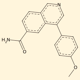 COc1ccc(-c2cncc3ccc(C(N)=O)cc23)cc1